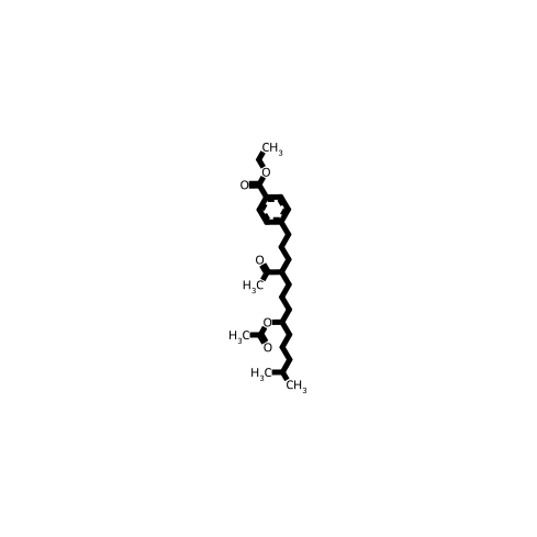 CCOC(=O)c1ccc(CCCC(CCCC(CCCC(C)C)OC(C)=O)C(C)=O)cc1